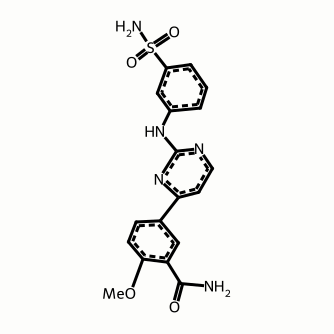 COc1ccc(-c2ccnc(Nc3cccc(S(N)(=O)=O)c3)n2)cc1C(N)=O